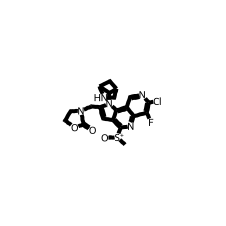 C[S+]([O-])c1nc2c(F)c(Cl)ncc2c2c1cc(CN1CCOC1=O)n2C1C2CNC1C2